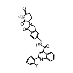 O=C1CCC(N2Cc3cc(CNC(=O)c4cc(-c5ccccc5F)nc5ccccc45)ccc3C2=O)C(=O)N1